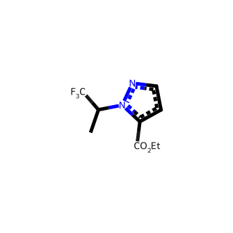 CCOC(=O)c1ccnn1C(C)C(F)(F)F